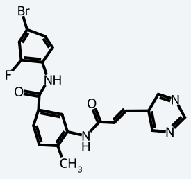 Cc1ccc(C(=O)Nc2ccc(Br)cc2F)cc1NC(=O)C=Cc1cncnc1